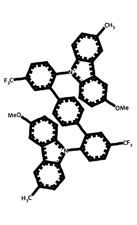 COc1ccc2c(c1)c1cc(C)ccc1n2-c1ccc(C(F)(F)F)cc1-c1ccc(-c2cc(C(F)(F)F)ccc2-n2c3ccc(C)cc3c3cc(OC)ccc32)cc1